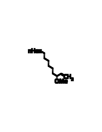 C=CC(CCCCCCCCCCCC)OC